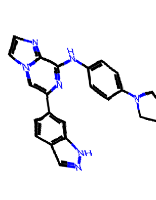 c1cn2cc(-c3ccc4cn[nH]c4c3)nc(Nc3ccc(N4CCCC4)cc3)c2n1